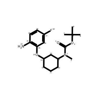 CN(C(=O)OC(C)(C)C)C1CCCC(Oc2cc(F)ccc2N)C1